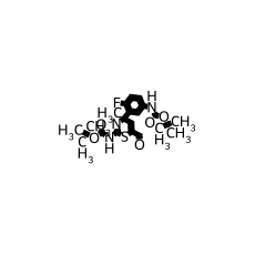 CC(C)(C)OC(=O)NC1=N[C@](C)(c2cc(NC(=O)OC(C)(C)C)ccc2F)C=C(C=O)S1